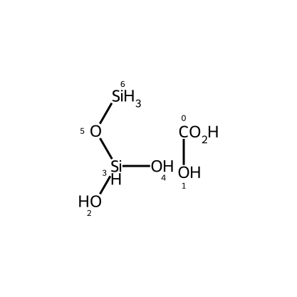 O=C(O)O.O[SiH](O)O[SiH3]